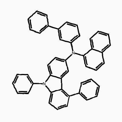 c1ccc(-c2cccc(N(c3ccc4c(c3)c3c(-c5ccccc5)cccc3n4-c3ccccc3)c3cccc4ccccc34)c2)cc1